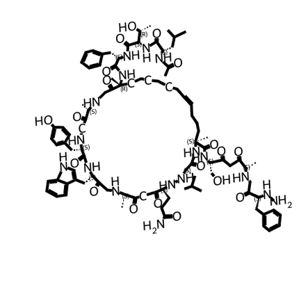 CC(=O)N[C@@H](CC(C)C)C(=O)N[C@H](C(=O)N[C@@H](Cc1ccccc1)C(=O)N[C@]1(C)CCCCCCC=CCCC[C@@](C)(C(=O)N[C@@H](CO)C(=O)CC(=O)[C@H](C)NCC(=O)[C@H](Cc2ccccc2)NN)NC(=O)[C@H](CC(C)C)NN[C@@H](CCC(N)=O)C(=O)CC(=O)[C@H](C)NCC(=O)[C@H](Cc2c[nH]c3ccccc23)NC(=O)[C@H](Cc2ccc(O)cc2)NCC(=O)[C@H](C)NCC1=O)[C@@H](C)O